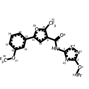 CCCOc1nsc(NC(=O)c2cc(-c3cccc(OC(F)(F)F)c3)oc2C(F)(F)F)n1